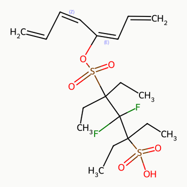 C=C/C=C\C(=C/C=C)OS(=O)(=O)C(CC)(CC)C(F)(F)C(CC)(CC)S(=O)(=O)O